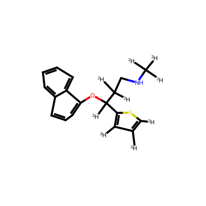 [2H]c1sc(C([2H])(Oc2cccc3ccccc23)C([2H])([2H])CNC([2H])([2H])[2H])c([2H])c1[2H]